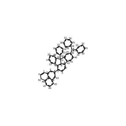 C1=Cc2cc(-c3ccc4c(c3)C(c3ccccc3)(c3ccccc3)c3cc(N(c5ccccc5)c5ccccc5)ccc3-4)cc3cccc(c23)C1